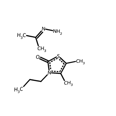 CC(C)=NN.CCCn1c(C)c(C)sc1=O